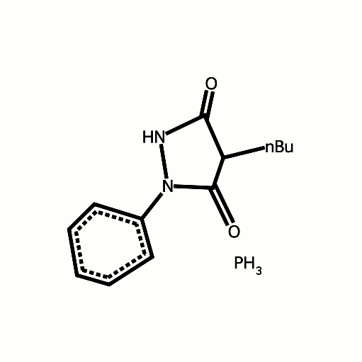 CCCCC1C(=O)NN(c2ccccc2)C1=O.P